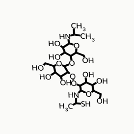 CC(C)NC1OC(CO)C(OC2OC(CO)C(O)C(O)C2OOC2C(NC(C)S)OC(CO)C(O)C2O)C(O)C1O